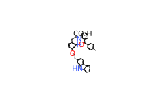 Cc1ccc(C(=O)c2ccccc2NC(Cc2ccc(OCCc3ccc4c(c3)[nH]c3ccccc34)cc2)C(=O)O)cc1